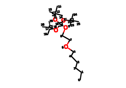 CCCCCCOCCO[Si](O[Si](C)(C)C)(O[Si](C)(C)C)O[Si](C)(C)C